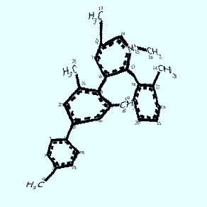 Cc1ccc(-c2cc(C)c(-c3cc(C)c[n+](C)c3-c3ccccc3C)c(C)c2)cc1